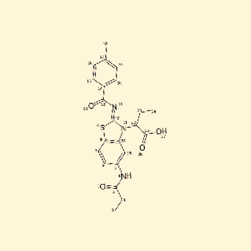 CCC(=O)Nc1ccc2sc(=NC(=O)c3ccc(C)cc3)n(C(CC)C(=O)O)c2c1